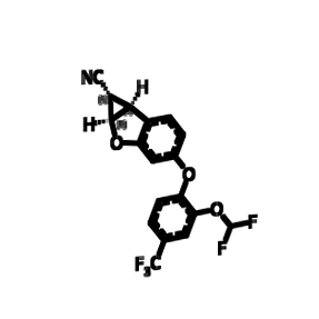 N#C[C@H]1[C@@H]2Oc3cc(Oc4ccc(C(F)(F)F)cc4OC(F)F)ccc3[C@H]12